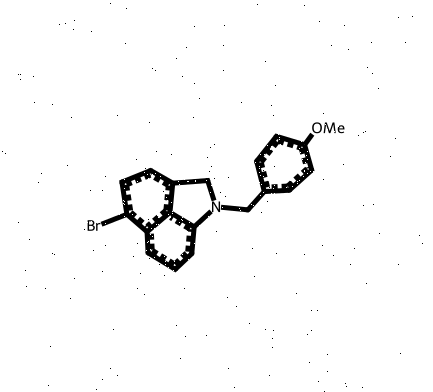 COc1ccc(CN2Cc3ccc(Br)c4cccc2c34)cc1